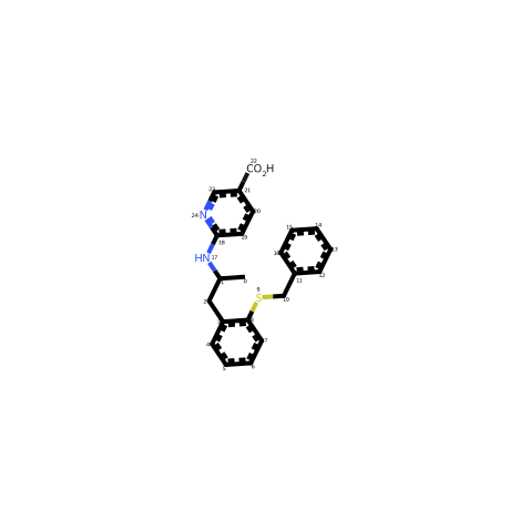 CC(Cc1ccccc1SCc1ccccc1)Nc1ccc(C(=O)O)cn1